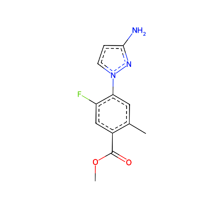 COC(=O)c1cc(F)c(-n2ccc(N)n2)cc1C